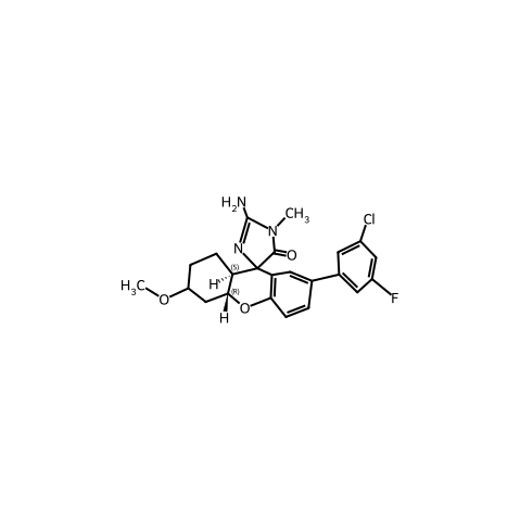 COC1CC[C@@H]2[C@@H](C1)Oc1ccc(-c3cc(F)cc(Cl)c3)cc1C21N=C(N)N(C)C1=O